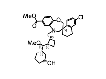 COC(=O)c1ccc2c(c1)N(C[C@@H]1CC[C@H]1[C@H](OC)[C@H]1CCC[C@@H](O)C1)C[C@@]1(CCCc3cc(Cl)ccc31)CO2